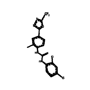 Cc1cc(-c2nnc(C(F)(F)F)o2)ccc1NC(=S)Nc1ccc(Cl)cc1Cl